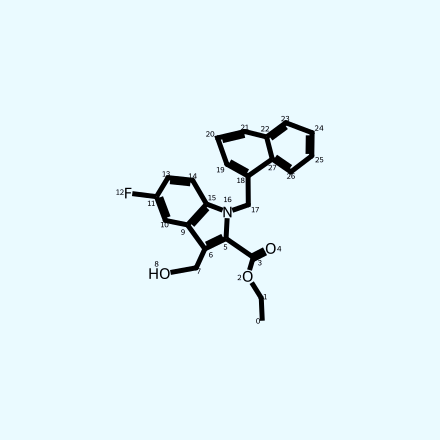 CCOC(=O)c1c(CO)c2cc(F)ccc2n1Cc1cccc2ccccc12